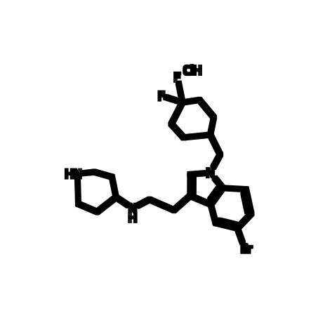 Cl.FC1(F)CCC(Cn2cc(CCNC3CCNCC3)c3cc(Br)ccc32)CC1